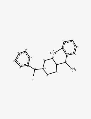 NC(c1ccccc1[N+](=O)[O-])C1CCN(C(I)c2ccccc2)CC1